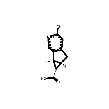 O=C(O)[C@H]1[C@@H]2Cc3cc(O)ncc3[C@@H]21